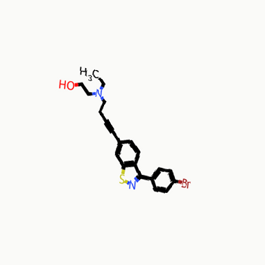 CCN(CCO)CCC#Cc1ccc2c(-c3ccc(Br)cc3)nsc2c1